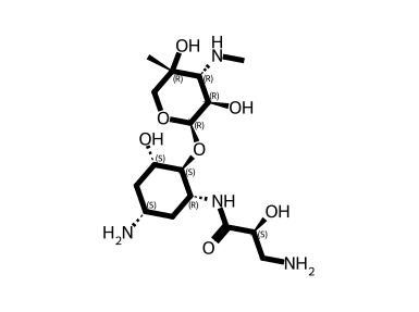 CN[C@@H]1[C@@H](O)[C@@H](O[C@@H]2[C@@H](O)C[C@@H](N)C[C@H]2NC(=O)[C@@H](O)CN)OC[C@]1(C)O